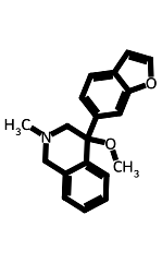 COC1(c2ccc3ccoc3c2)CN(C)Cc2ccccc21